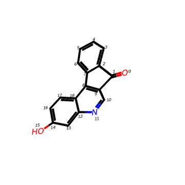 O=C1c2ccccc2-c2c1cnc1cc(O)ccc21